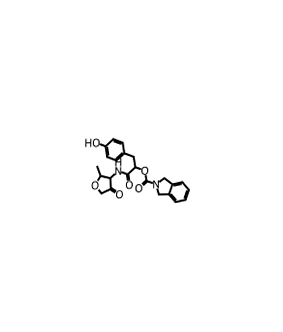 CC1OCC(=O)C1NC(=O)C(Cc1ccc(O)cc1)OC(=O)N1Cc2ccccc2C1